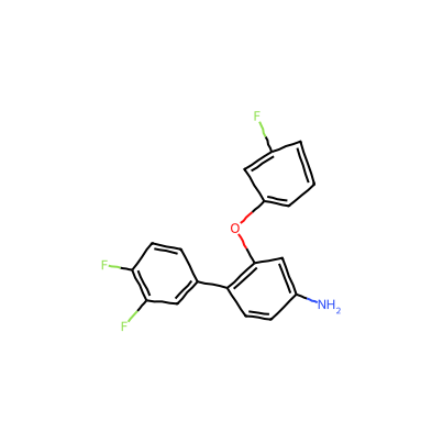 Nc1ccc(-c2ccc(F)c(F)c2)c(Oc2cccc(F)c2)c1